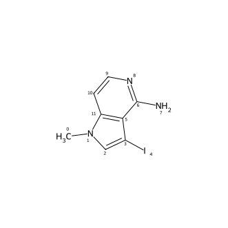 Cn1cc(I)c2c(N)nccc21